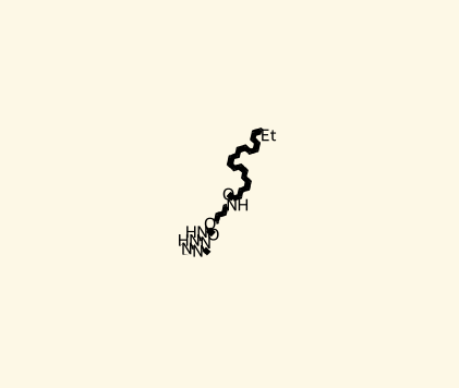 CC/C=C\C/C=C\C/C=C\C/C=C\C/C=C\C/C=C\CCC(=O)NCCCCOC(=O)NC1=NC(C)N=C(N(C)C)N1